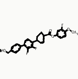 COc1ccc(OC(=O)C2CCC(c3ccc(-c4ccc(CO)cc4)c(F)c3F)CC2)cc1F